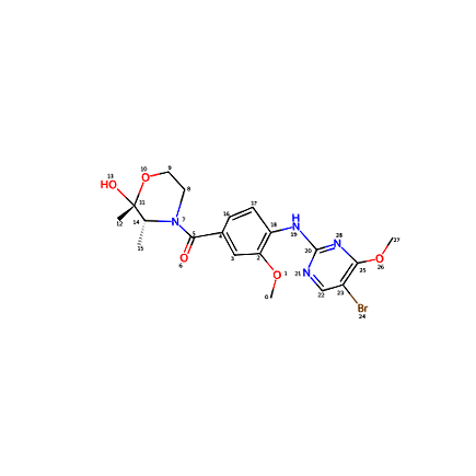 COc1cc(C(=O)N2CCO[C@@](C)(O)[C@H]2C)ccc1Nc1ncc(Br)c(OC)n1